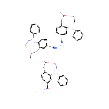 CC1Cc2cc(C#N)ccc2N(c2ccccc2)CCO1.CC1Cc2ccc(C#N)cc2N(c2ccccc2)CCO1.CC1Cc2ccc(C(N)=O)cc2N(c2ccccc2)CCO1